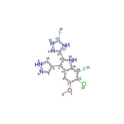 COc1cc2c(-c3cn[nH]c3)c(-c3nnc(F)[nH]3)[nH]c2c(F)c1Cl